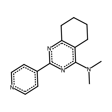 CN(C)c1nc(-c2ccncc2)nc2c1CCCC2